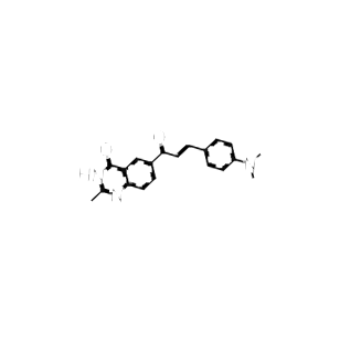 Cc1nc2ccc(C(=O)C=Cc3ccc(N(C)C)cc3)cc2c(=O)[nH]1